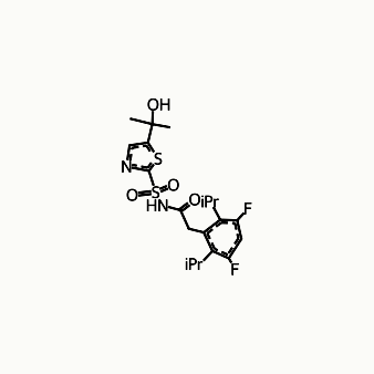 CC(C)c1c(F)cc(F)c(C(C)C)c1CC(=O)NS(=O)(=O)c1ncc(C(C)(C)O)s1